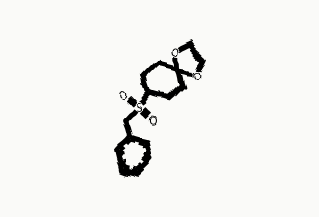 O=S(=O)(Cc1ccccc1)C1CCC2(CC1)OCCO2